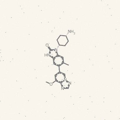 COc1cc(-c2cc3[nH]c(=O)n([C@H]4CC[C@@H](N)CC4)c3cc2C)cn2ncnc12